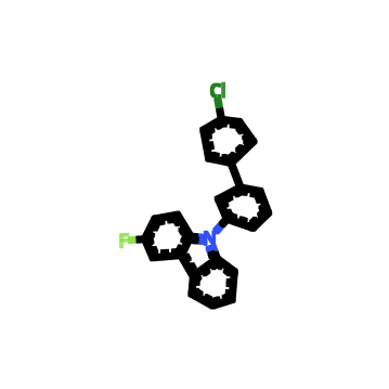 Fc1ccc2c(c1)c1ccccc1n2-c1cccc(-c2ccc(Cl)cc2)c1